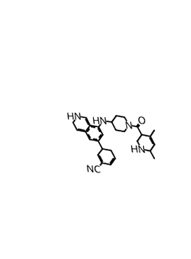 CC1=CC(C)NCC1C(=O)N1CCC(Nc2cc(C3C=C(C#N)C=CC3)cc3c2=CNCC=3)CC1